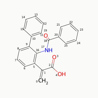 C=C(C(=O)O)c1cccc(-c2ccccc2)c1NC(=O)c1ccccc1